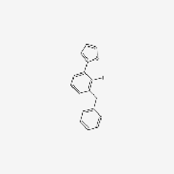 Ic1c(Cc2ccccc2)cccc1-c1cccs1